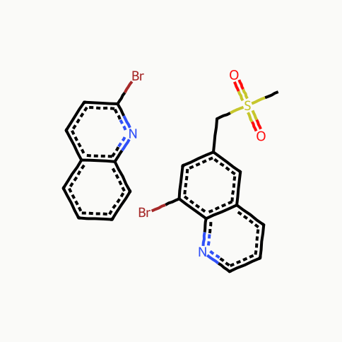 Brc1ccc2ccccc2n1.CS(=O)(=O)Cc1cc(Br)c2ncccc2c1